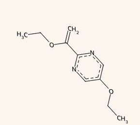 C=C(OCC)c1ncc(OCC)cn1